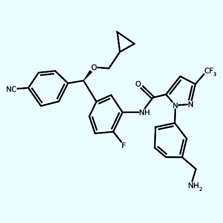 N#Cc1ccc([C@@H](OCC2CC2)c2ccc(F)c(NC(=O)c3cc(C(F)(F)F)nn3-c3cccc(CN)c3)c2)cc1